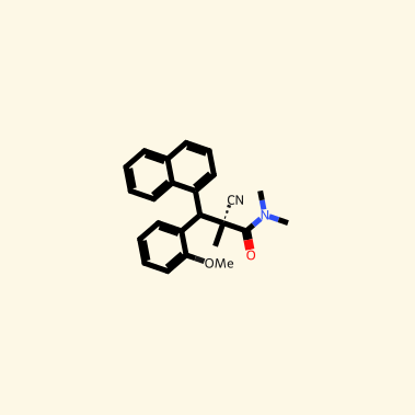 COc1ccccc1C(c1cccc2ccccc12)[C@@](C)(C#N)C(=O)N(C)C